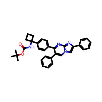 CC(C)(C)OC(=O)NC1(c2ccc(-c3nc4nc(-c5ccccc5)cn4cc3-c3ccccc3)cc2)CCC1